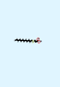 CCCCCCCCCCCCSC=CC(=O)OC